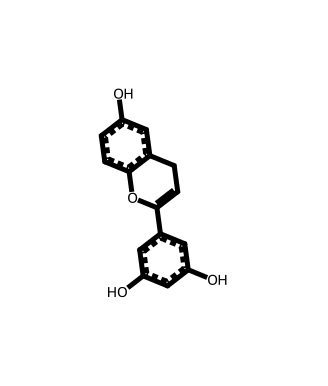 Oc1cc(O)cc(C2=CCc3cc(O)ccc3O2)c1